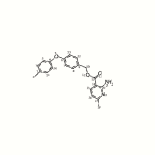 Cc1ccc(Oc2ccc(COC(=O)c3ccc(C)nc3N)cc2)cc1